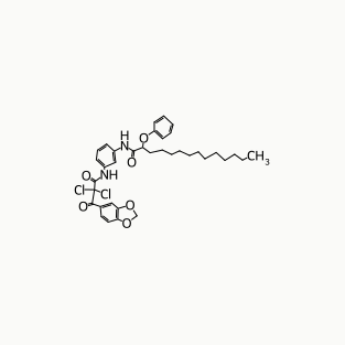 CCCCCCCCCCCCC(Oc1ccccc1)C(=O)Nc1cccc(NC(=O)C(Cl)(Cl)C(=O)c2ccc3c(c2)OCO3)c1